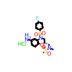 CN(C[C@H]1CN(S(=O)(=O)c2ccc(F)cc2)c2cc(N)ccc2O1)S(C)(=O)=O.Cl